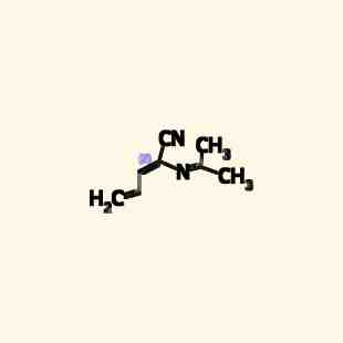 C=C/C=C(/C#N)N=C(C)C